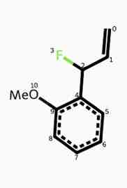 C=CC(F)c1ccccc1OC